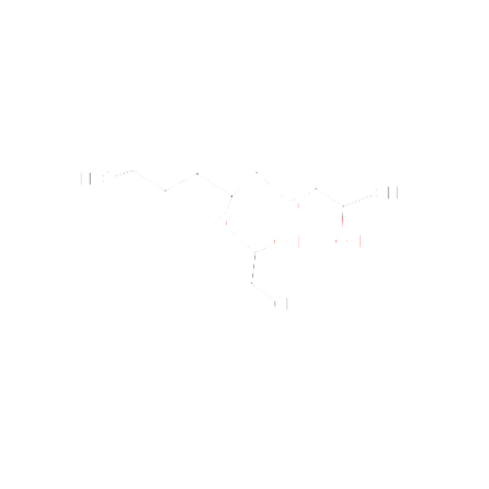 CCCCC(COCC(C)O)OC(O)CC